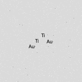 [Au].[Au].[Ti].[Ti]